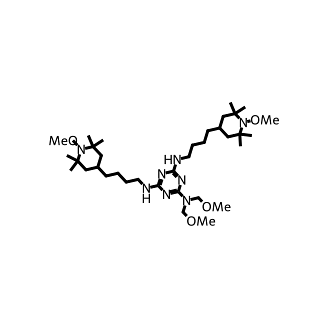 COCN(COC)c1nc(NCCCCC2CC(C)(C)N(OC)C(C)(C)C2)nc(NCCCCC2CC(C)(C)N(OC)C(C)(C)C2)n1